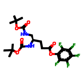 CC(C)(C)OC(=O)NC[C@@H](CCC(=O)Oc1c(F)c(F)c(F)c(F)c1F)NC(=O)OC(C)(C)C